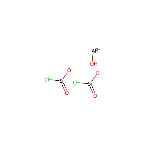 O=[Si]([O-])Cl.O=[Si]([O-])Cl.[OH][Al+2]